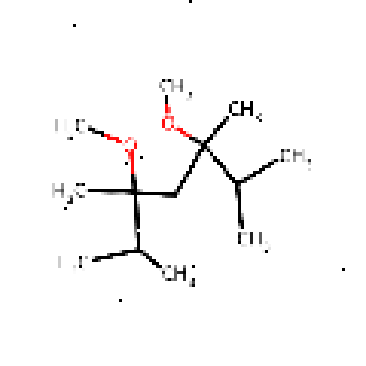 COC(C)(CC(C)(OC)C(C)C)C(C)C